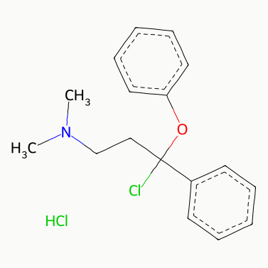 CN(C)CCC(Cl)(Oc1ccccc1)c1ccccc1.Cl